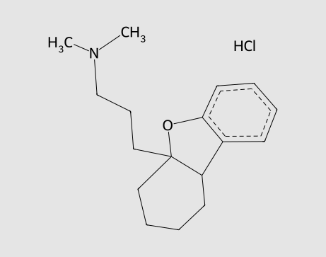 CN(C)CCCC12CCCCC1c1ccccc1O2.Cl